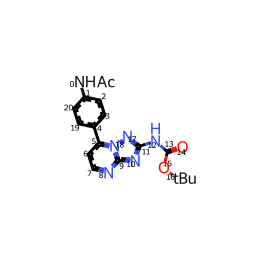 CC(=O)Nc1ccc(-c2ccnc3nc(NC(=O)OC(C)(C)C)nn23)cc1